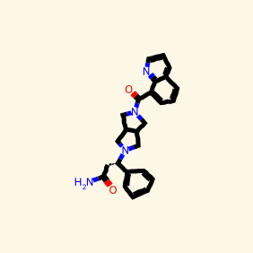 NC(=O)C[C@@H](c1ccccc1)N1CC2CN(C(=O)c3cccc4cccnc34)CC2C1